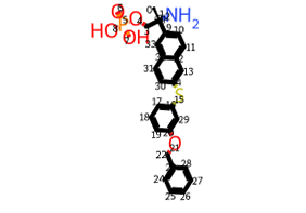 C[C@](N)(COP(=O)(O)O)c1ccc2cc(Sc3cccc(OCc4ccccc4)c3)ccc2c1